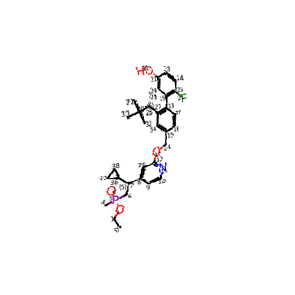 CCOP(C)(=O)C[C@H](c1ccnc(OCc2ccc(-c3cc(O)ccc3F)c([C@@H](C)C(C)(C)C)c2)c1)C1CC1